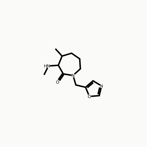 CNC1C(=O)N(Cc2cnco2)CCCC1C